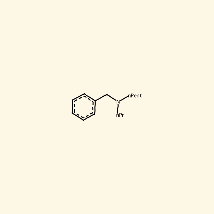 CCCCCN(CCC)Cc1ccccc1